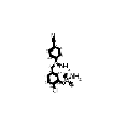 N#Cc1ccc(N(N)Cc2ccc(Cl)c(OS(N)(=O)=O)c2)cc1